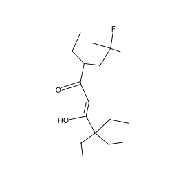 CCC(CC(C)(C)F)C(=O)/C=C(\O)C(CC)(CC)CC